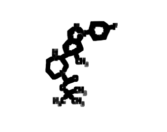 Cc1cc2c(cnn2-c2ccc(F)cc2)cc1C1CN(C(=O)OC(C)(C)C)CCCN1